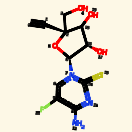 C#C[C@]1(CO)O[C@@H](n2cc(F)c(N)nc2=S)[C@@H](O)C1O